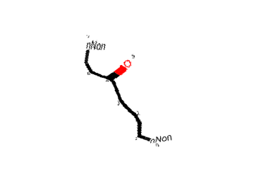 CCCCCCCCCCCCC(=O)CCCCCCCCCC